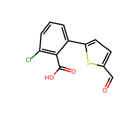 O=Cc1ccc(-c2cccc(Cl)c2C(=O)O)s1